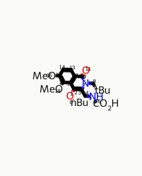 CCCCOc1c(CNC(=O)O)n(CC(C)(C)C)c(=O)c2ccc(OC)c(OC)c12